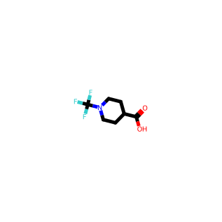 O=C(O)C1CCN(C(F)(F)F)CC1